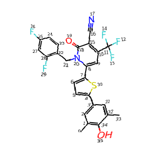 Cc1cc(-c2ccc(-c3cc(C(F)(F)F)c(C#N)c(=O)n3Cc3ccc(F)cc3F)s2)cc(C)c1O